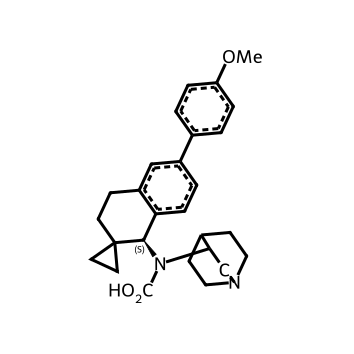 COc1ccc(-c2ccc3c(c2)CCC2(CC2)[C@@H]3N(C(=O)O)C2CN3CCC2CC3)cc1